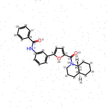 O=C(Nc1cccc(-c2ccc(C(=O)N3CCC[C@@H]4CCCC[C@H]43)o2)c1)c1ccccc1